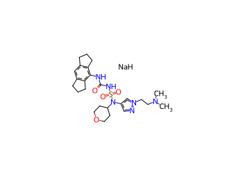 CN(C)CCn1cc(N(C2CCOCC2)S(=O)(=O)NC(=O)Nc2c3c(cc4c2CCC4)CCC3)cn1.[NaH]